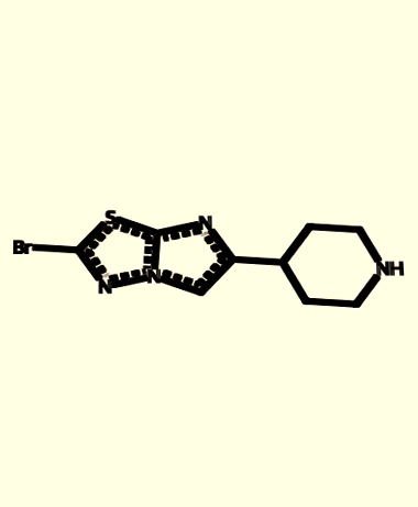 Brc1nn2cc(C3CCNCC3)nc2s1